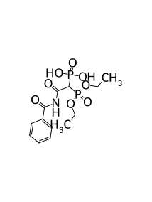 CCOP(=O)(OCC)C(C(=O)NC(=O)c1ccccc1)P(=O)(O)O